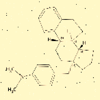 CN(C)c1ccc(C[C@@]23CCC[C@H]2[C@@H]2CCc4ccccc4[C@H]2CC3)cc1